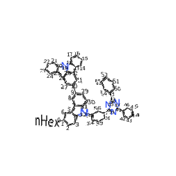 CCCCCCc1ccc2c(c1)c1cc(-c3cc4c5ccccc5n5c6ccccc6c(c3)c45)ccc1n2-c1cccc(-c2nc(-c3ccccc3)nc(-c3ccccc3)n2)c1